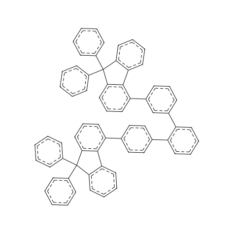 c1ccc(C2(c3ccccc3)c3ccccc3-c3c(-c4ccc(-c5ccccc5-c5cccc(-c6cccc7c6-c6ccccc6C7(c6ccccc6)c6ccccc6)c5)cc4)cccc32)cc1